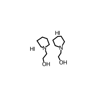 I.I.OCCN1CCCCC1.OCCN1CCCCC1